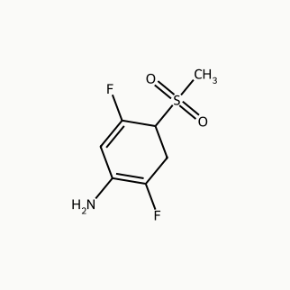 CS(=O)(=O)C1CC(F)=C(N)C=C1F